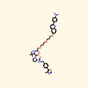 Cc1ncsc1-c1ccc(CNC(=O)[C@@H]2CCCN2C(=O)C(NC(=O)COCCCOCCCOc2ccc3nc(-c4ccc(N(C)C)cc4)ccc3c2)C(C)(C)C)cc1